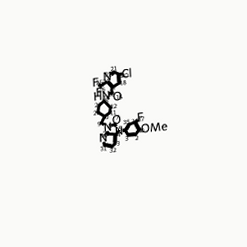 COc1ccc(-n2c(=O)n(CC3CCC(NC(=O)c4cc(Cl)cnc4C(F)F)CC3)c3ncccc32)cc1F